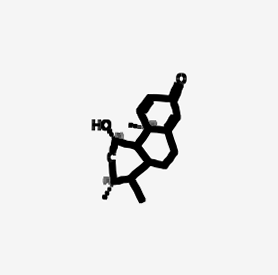 CC1C2CCC3=CC(=O)C=C[C@]3(C)C2[C@@H](O)C[C@H]1C